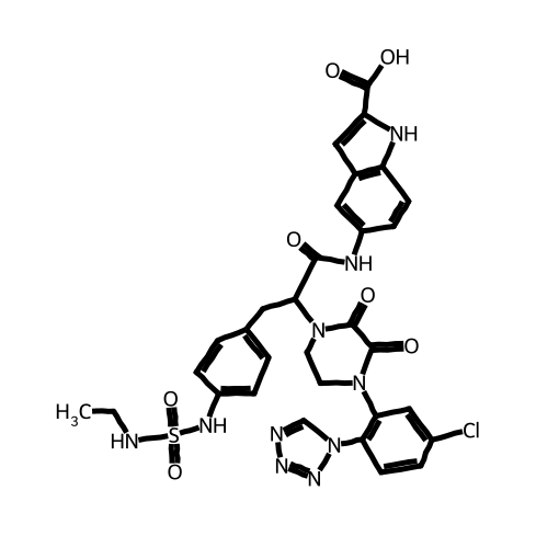 CCNS(=O)(=O)Nc1ccc(CC(C(=O)Nc2ccc3[nH]c(C(=O)O)cc3c2)N2CCN(c3cc(Cl)ccc3-n3cnnn3)C(=O)C2=O)cc1